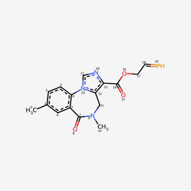 Cc1ccc2c(c1)C(=O)N(C)Cc1c(C(=O)OCC=P)ncn1-2